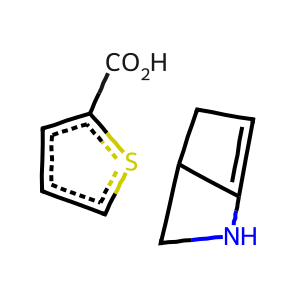 C1=C2NCC2C1.O=C(O)c1cccs1